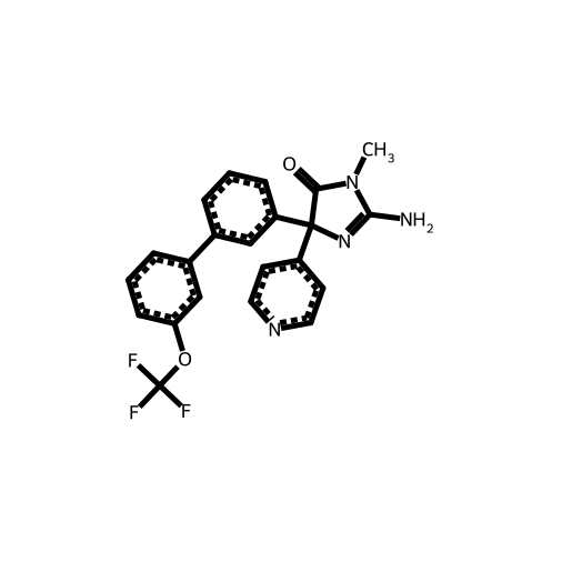 CN1C(=O)C(c2ccncc2)(c2cccc(-c3cccc(OC(F)(F)F)c3)c2)N=C1N